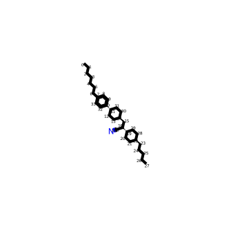 CCCCCCCc1ccc([C@H]2CC[C@H](CC(C#N)[C@H]3CC[C@H](CCCCC)CC3)CC2)cc1